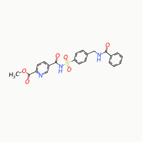 COC(=O)c1ccc(C(=O)NS(=O)(=O)c2ccc(CNC(=O)c3ccccc3)cc2)cn1